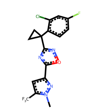 Cn1nc(-c2nc(C3(c4ccc(F)cc4Cl)CC3)no2)cc1C(F)(F)F